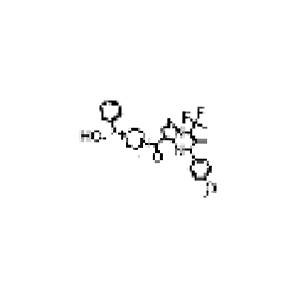 COc1ccc(-c2nc3c(C(=O)N4CCN([C@H](CO)c5ccccc5)C[C@H]4C)cnn3c(C(F)(F)F)c2C)cc1